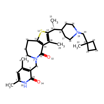 Cc1cc(C)c(CN2CCCc3sc([C@H](C)C4CCN(CC5(C)CCC5)CC4)c(C)c3C2=O)c(=O)[nH]1